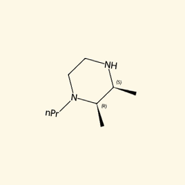 CCCN1CCN[C@@H](C)[C@H]1C